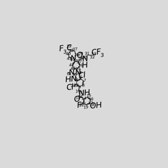 Cn1c(Nc2c(Cl)ccc(CNC(=O)c3ccc(O)cc3F)c2Cl)nc2cc(C(=O)NCCC(F)(F)F)c(N3CCC(C(F)(F)F)CC3)cc21